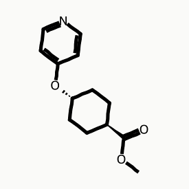 COC(=O)[C@H]1CC[C@H](Oc2ccncc2)CC1